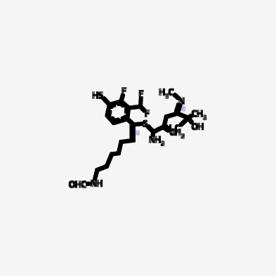 C=C(C/C(=N\C)C(C)(C)O)C(N)S/C(=C/CCCCCNC=O)c1ccc(S)c(F)c1C(F)F